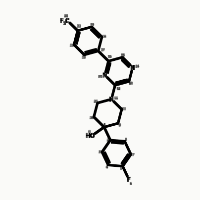 OC1(c2ccc(F)cc2)CCN(c2cncc(-c3ccc(C(F)(F)F)cc3)n2)CC1